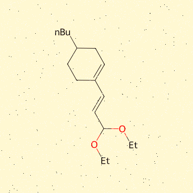 CCCCC1CC=C(C=CC(OCC)OCC)CC1